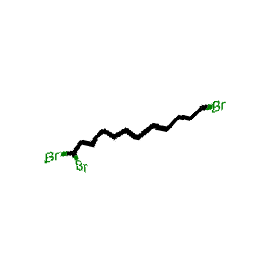 BrCCCCCCCCCCCC(Br)Br